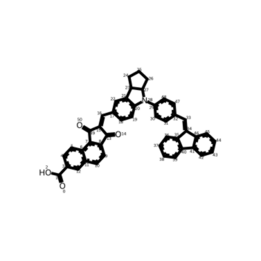 O=C(O)c1ccc2c3c(ccc2c1)C(=O)C(=Cc1ccc2c(c1)C1CCCC1N2c1ccc(C=C2c4ccccc4-c4ccccc42)cc1)C3=O